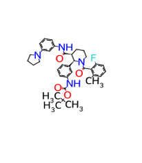 Cc1cccc(F)c1C(=O)N1CCC[C@H](C(=O)Nc2cccc(N3CCCC3)c2)[C@@H]1c1cccc(NC(=O)OC(C)(C)C)c1